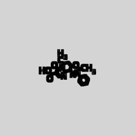 CC(=O)N(N=C1CCC(C)n2c1ncc(C(=O)O)c2=O)c1ccccc1